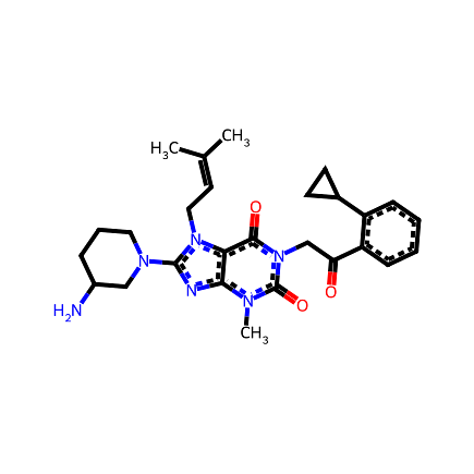 CC(C)=CCn1c(N2CCCC(N)C2)nc2c1c(=O)n(CC(=O)c1ccccc1C1CC1)c(=O)n2C